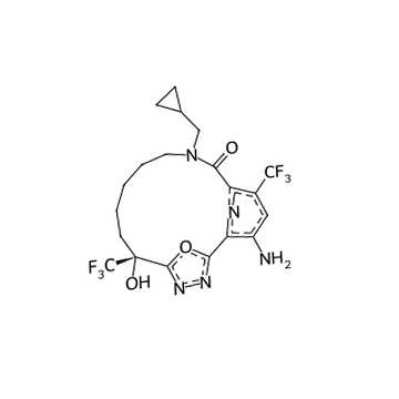 Nc1cc(C(F)(F)F)c2nc1-c1nnc(o1)[C@@](O)(C(F)(F)F)CCCCCN(CC1CC1)C2=O